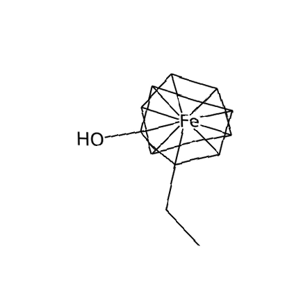 CC[C]12[CH]3[CH]4[CH]5[C]1(O)[Fe]45321678[CH]2[CH]1[CH]6[CH]7[CH]28